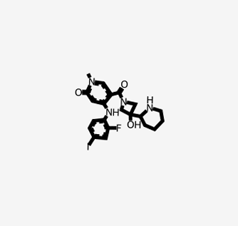 Cn1cc(C(=O)N2CC(O)(C3CCCCN3)C2)c(Nc2ccc(I)cc2F)cc1=O